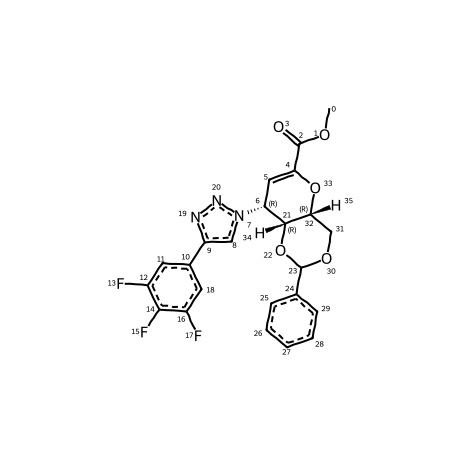 COC(=O)C1=C[C@@H](n2cc(-c3cc(F)c(F)c(F)c3)nn2)[C@H]2OC(c3ccccc3)OC[C@H]2O1